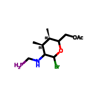 CC(=O)OCC1OC(Br)C(NCP)[C@@H](C)[C@@H]1C